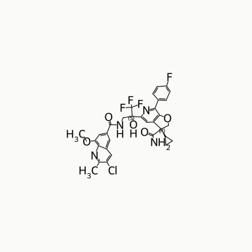 COc1cc(C(=O)NC[C@](O)(c2cc3c(c(-c4ccc(F)cc4)n2)OC[C@@]3(C(N)=O)C2CC2)C(F)(F)F)cc2cc(Cl)c(C)nc12